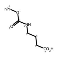 CCCOC(=O)NCCCC(=O)O